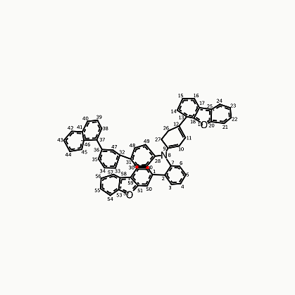 c1c(-c2ccccc2N(C2=CC=C(c3cccc4c3oc3ccccc34)CC2)c2ccc(-c3cccc(-c4cccc5ccccc45)c3)cc2)cc2oc3ccccc3c2c#1